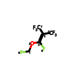 FCOC(F)=C(C(F)(F)F)C(F)(F)F